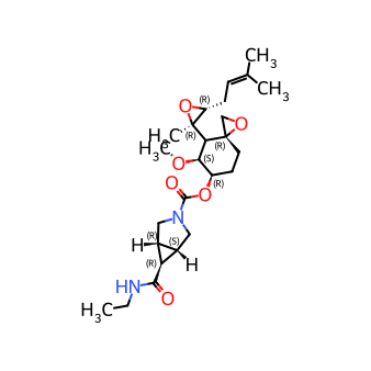 CCNC(=O)[C@H]1[C@@H]2CN(C(=O)O[C@@H]3CC[C@]4(CO4)C([C@@]4(C)O[C@@H]4CC=C(C)C)[C@@H]3OC)C[C@@H]21